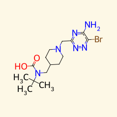 CC(C)(C)N(CC1CCN(Cc2nnc(Br)c(N)n2)CC1)C(=O)O